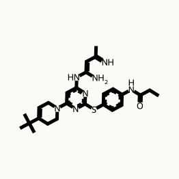 CCC(=O)Nc1ccc(Sc2nc(N/C(N)=C/C(C)=N)cc(N3CC=C(C(C)(C)C)CC3)n2)cc1